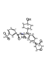 CS(=O)(=O)c1cccc(C(=O)/N=c2\[nH]c3cc(N4CCOCC4=O)ccc3n2C2CCC(O)CC2)c1